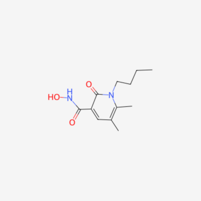 CCCCn1c(C)c(C)cc(C(=O)NO)c1=O